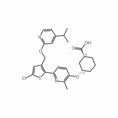 Cc1nc(-c2sc(Cl)cc2COc2cc(C(C)C)ccn2)ccc1O[C@H]1CCC[C@H](C(=O)O)C1